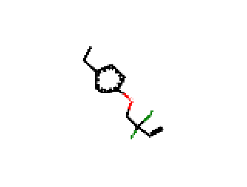 C=CC(F)(F)COc1ccc(CC)cc1